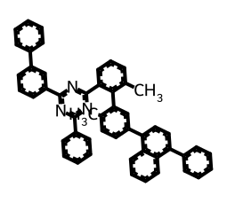 Cc1ccc(-c2ccc(-c3ccccc3)c3ccccc23)cc1-c1c(C)cccc1-c1nc(-c2ccccc2)nc(-c2cccc(-c3ccccc3)c2)n1